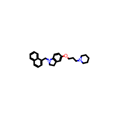 c1ccc2c(CN3CCc4cc(OCCCN5CCCCC5)ccc43)cccc2c1